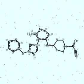 C#CC(=O)N1CCC(Nc2ncnc(N)c2-c2cnn(Cc3ccccc3)c2)CC1